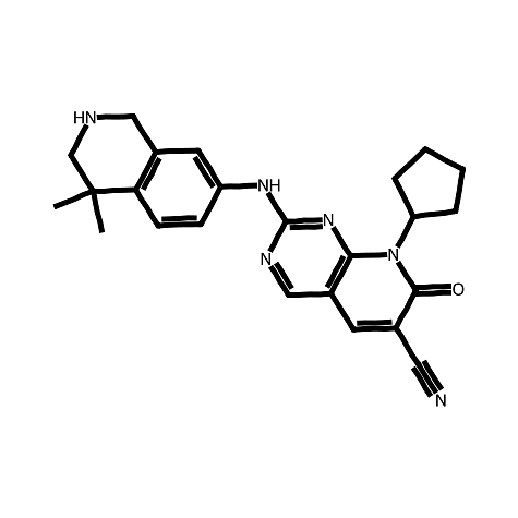 CC1(C)CNCc2cc(Nc3ncc4cc(C#N)c(=O)n(C5CCCC5)c4n3)ccc21